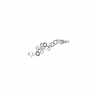 O=C(NC1CCc2ccc(C(=O)N3CCC4(CCN(Cc5c[nH]cn5)CC4)CC3)cc21)c1cc(C(F)(F)F)ccc1Cl